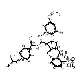 COc1cc(F)c([C@@H]2CN(Cc3ccccc3P(C)(C)=O)C(=O)C2CNC(=O)c2ccc(OC(F)F)cc2)c(F)c1